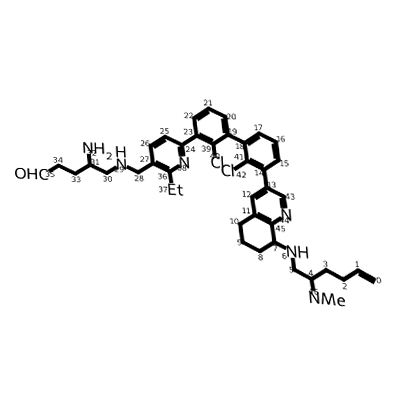 C=CCCC(CNC1CCCc2cc(-c3cccc(-c4cccc(-c5ccc(CNCC(N)CCC=O)c(CC)n5)c4Cl)c3Cl)cnc21)NC